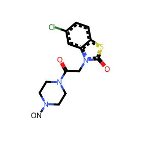 O=NN1CCN(C(=O)Cn2c(=O)sc3ccc(Cl)cc32)CC1